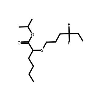 CCCCC(SCCCC(F)(F)CC)C(=O)OC(C)C